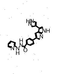 O=C(NNc1ccccn1)c1ccc(-c2cnc3[nH]cc(-c4cn[nH]c4)c3c2)cc1